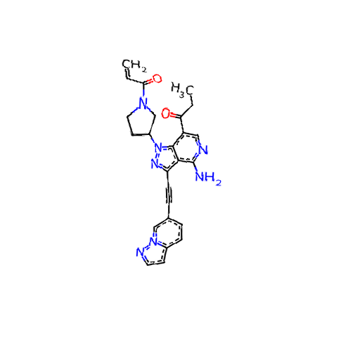 C=CC(=O)N1CCC(n2nc(C#Cc3ccc4ccnn4c3)c3c(N)ncc(C(=O)CC)c32)C1